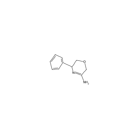 NC1=NC(c2ccccc2)COC1